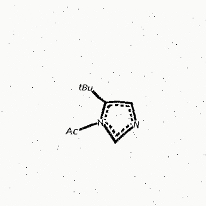 CC(=O)n1cncc1C(C)(C)C